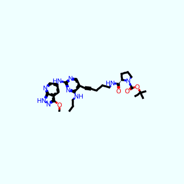 CCCNc1nc(Nc2cnc3[nH]nc(OC)c3c2)ncc1C#CCCCNC(=O)[C@@H]1CCCN1C(=O)OC(C)(C)C